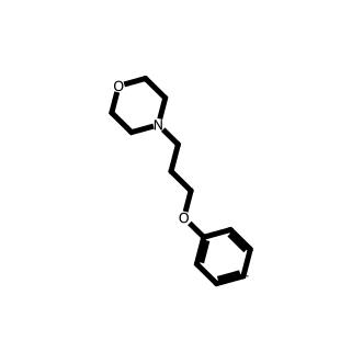 [c]1ccc(OCCCN2CCOCC2)cc1